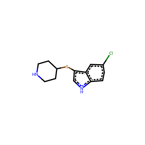 Clc1ccc2[nH]cc(SC3CCNCC3)c2c1